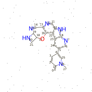 C=C1C=CC(c2cnc3[nH]c4cnc(C#N)c(OC5CNC5)c4c3c2)=CN1C